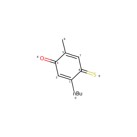 CCCCC1=CC(=O)C(C)=CC1=S